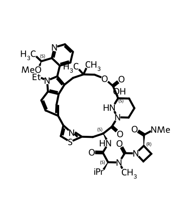 CCn1c(-c2cccnc2[C@H](C)OC)c2c3cc(ccc31)-c1csc(n1)C[C@H](NC(=O)[C@H](C(C)C)N(C)C(=O)N1CC[C@@H]1C(=O)NC)C(=O)N1CCC[C@@](O)(N1)C(=O)OCC(C)(C)C2